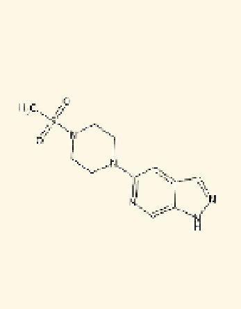 CS(=O)(=O)N1CCN(c2cc3cn[nH]c3cn2)CC1